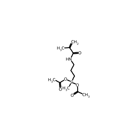 C=C(C)C(=O)NCCC[Si](C)(OC(C)=O)OC(C)=O